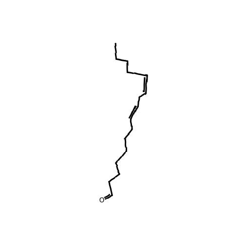 CCCC/C=C\C/C=C/CCCCCCC=O